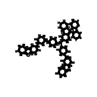 c1ccc(C2(c3ccccc3)c3ccccc3-c3cc(N(c4ccc(-c5cccc(-c6ccc7oc8ccccc8c7c6)c5)cc4)c4ccc(-c5ccc6sc7ccccc7c6c5)cc4)ccc32)cc1